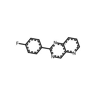 Fc1ccc(-c2ncc3ncccc3n2)cc1